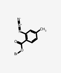 Cc1ccc(C(=O)OBr)c(N=[N+]=[N-])c1